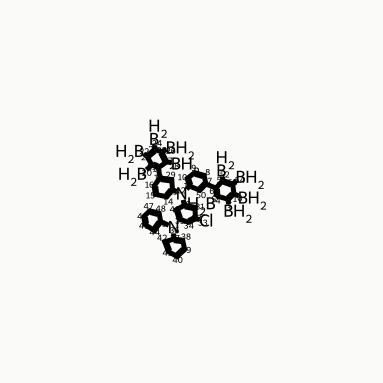 Bc1c(B)c(B)c(-c2cccc(N(c3cccc(-c4c(B)c(B)c(B)c(B)c4B)c3)c3cc(Cl)cc(N(c4ccccc4)c4ccccc4)c3)c2)c(B)c1B